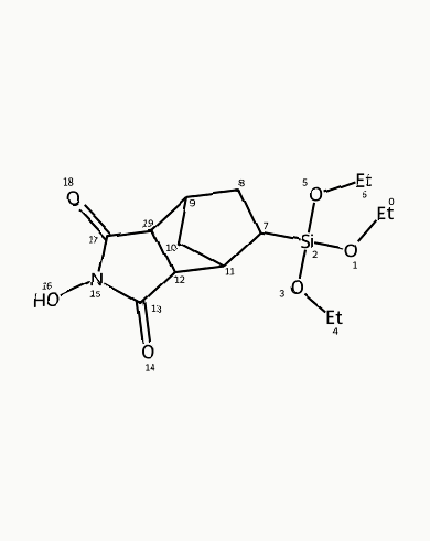 CCO[Si](OCC)(OCC)C1CC2CC1C1C(=O)N(O)C(=O)C21